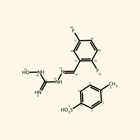 Cc1ccc(S(=O)(=O)O)cc1.N=C(NO)N/N=C/c1cc(F)ccc1F